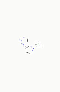 CCCC[n+]1ccccc1.[Cl-].c1cncnc1